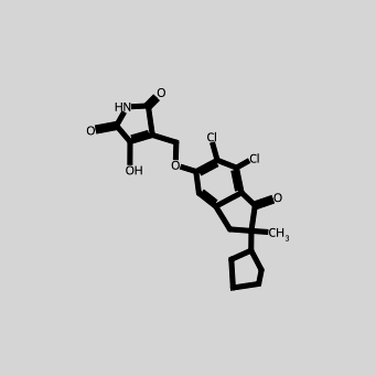 CC1(C2CCCC2)Cc2cc(OCC3=C(O)C(=O)NC3=O)c(Cl)c(Cl)c2C1=O